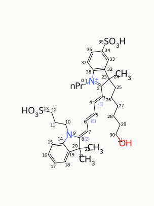 CCC[N+]1=C(/C=C/C=C/C=C2\N(CCCS(=O)(=O)O)c3ccccc3C2(C)C)C(C)(CCCCCCO)c2cc(S(=O)(=O)O)ccc21